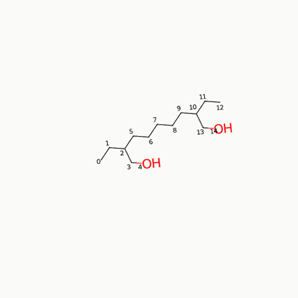 CCC(CO)CCCCCC(CC)CO